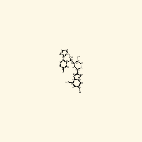 Cc1ccc(-n2nccn2)c(C(=O)N2C[C@H](c3nc4cc(F)cc(F)c4o3)CC[C@H]2C)c1